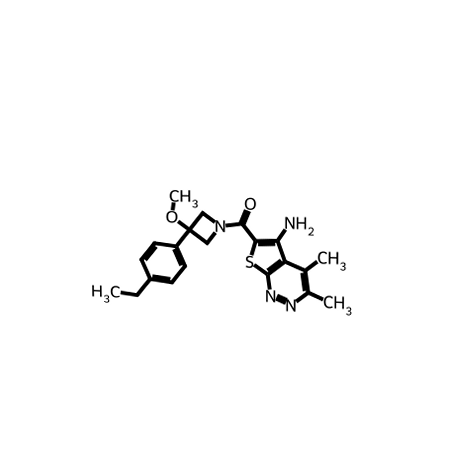 CCc1ccc(C2(OC)CN(C(=O)c3sc4nnc(C)c(C)c4c3N)C2)cc1